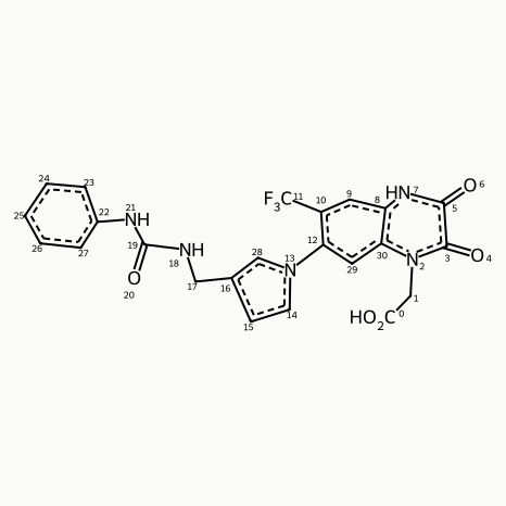 O=C(O)Cn1c(=O)c(=O)[nH]c2cc(C(F)(F)F)c(-n3ccc(CNC(=O)Nc4ccccc4)c3)cc21